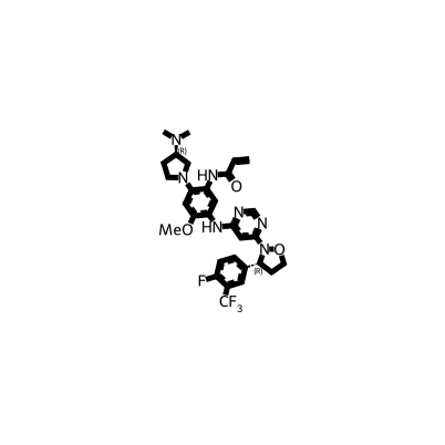 C=CC(=O)Nc1cc(Nc2cc(N3OCC[C@@H]3c3ccc(F)c(C(F)(F)F)c3)ncn2)c(OC)cc1N1CC[C@@H](N(C)C)C1